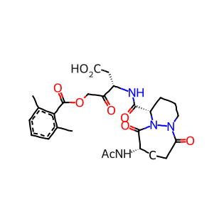 CC(=O)N[C@H]1CCC(=O)N2CCC[C@@H](C(=O)N[C@@H](CC(=O)O)C(=O)COC(=O)c3c(C)cccc3C)N2C1=O